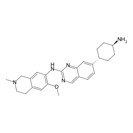 COc1cc2c(cc1Nc1ncc3ccc([C@H]4CC[C@H](N)CC4)cc3n1)CN(C)CC2